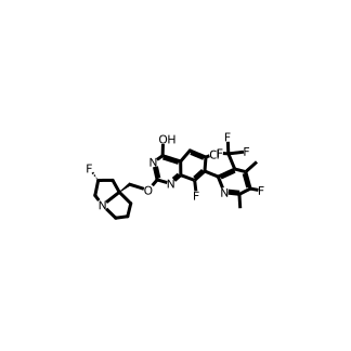 Cc1nc(-c2c(Cl)cc3c(O)nc(OC[C@@]45CCCN4C[C@H](F)C5)nc3c2F)c(C(F)(F)F)c(C)c1F